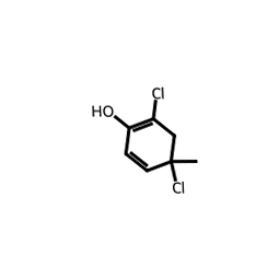 CC1(Cl)C=CC(O)=C(Cl)C1